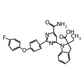 CCC1(C(=O)O)Cc2ccccc2N1c1cc(C(N)=O)nc(-c2ccc(Oc3ccc(F)cc3)cc2)n1